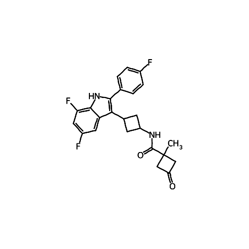 CC1(C(=O)NC2CC(c3c(-c4ccc(F)cc4)[nH]c4c(F)cc(F)cc34)C2)CC(=O)C1